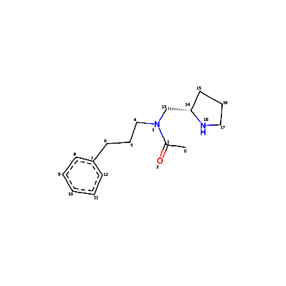 CC(=O)N(CCCc1ccccc1)C[C@@H]1CCCN1